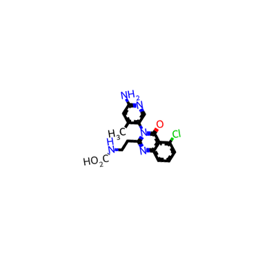 Cc1cc(N)ncc1-n1c(CCNC(=O)O)nc2cccc(Cl)c2c1=O